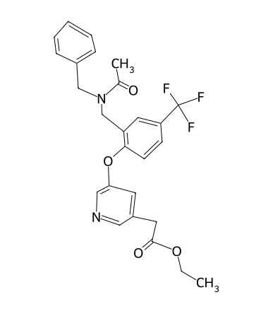 CCOC(=O)Cc1cncc(Oc2ccc(C(F)(F)F)cc2CN(Cc2ccccc2)C(C)=O)c1